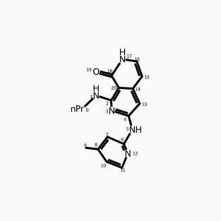 CCCNc1nc(Nc2cc(C)ccn2)cc2cc[nH]c(=O)c12